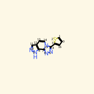 c1csc(-c2nnc3c4[nH]ncc4ccn23)c1